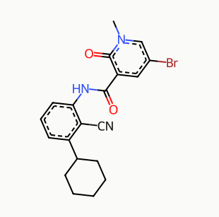 Cn1cc(Br)cc(C(=O)Nc2cccc(C3CCCCC3)c2C#N)c1=O